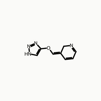 C1=CC(=COc2c[nH]nn2)CN=C1